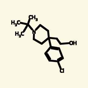 CC(C)(C)N1CCC(CCO)(c2ccc(Cl)cc2)CC1